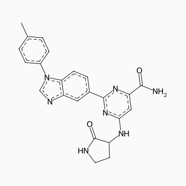 Cc1ccc(-n2cnc3cc(-c4nc(NC5CCNC5=O)cc(C(N)=O)n4)ccc32)cc1